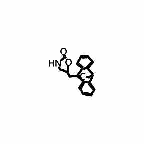 O=C1NCC(CC23CCC(c4ccccc42)c2ccccc23)O1